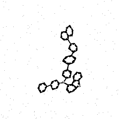 c1ccc(-c2ccc(N(c3ccc(-c4ccc(-c5cccc(-c6cccc7ccccc67)c5)cc4)cc3)c3cccc4sc5ccccc5c34)cc2)cc1